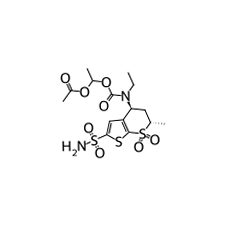 CCN(C(=O)OC(C)OC(C)=O)[C@H]1C[C@H](C)S(=O)(=O)c2sc(S(N)(=O)=O)cc21